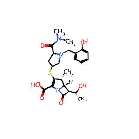 C[C@@H](O)[C@H]1C(=O)N2C(C(=O)O)=C(S[C@H]3C[C@@H](C(=O)N(C)C)N(Cc4ccccc4O)C3)[C@H](C)[C@H]12